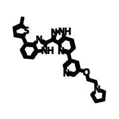 Cc1ccc(-c2cccc3[nH]c(-c4n[nH]c5ccc(-c6cncc(OCCN7CCCC7)c6)nc45)nc23)s1